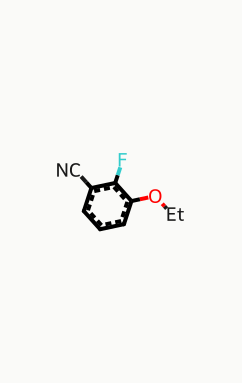 CCOc1cccc(C#N)c1F